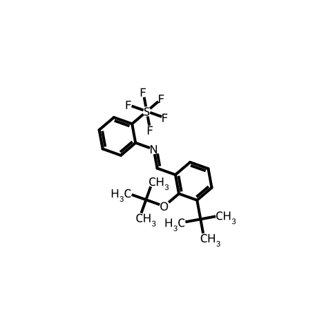 CC(C)(C)Oc1c(/C=N/c2ccccc2S(F)(F)(F)(F)F)cccc1C(C)(C)C